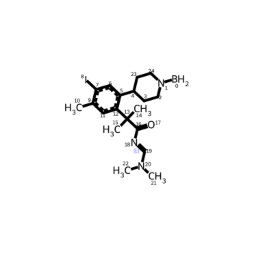 BN1CCC(c2cc(I)c(C)cc2C(C)(C)C(=O)/N=C/N(C)C)CC1